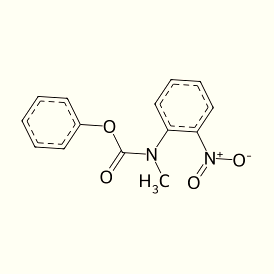 CN(C(=O)Oc1ccccc1)c1ccccc1[N+](=O)[O-]